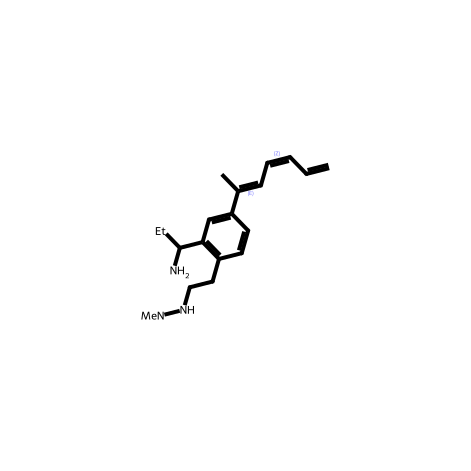 C=C/C=C\C=C(/C)c1ccc(CCNNC)c(C(N)CC)c1